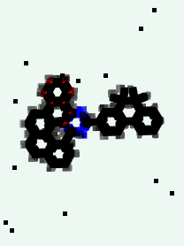 CC1(C)c2ccccc2-c2ccc(-c3nc(-c4ccccc4)nc(-c4cccc5ccc6ccc7c8ccccc8ccc7c6c45)n3)cc2C1(C)C